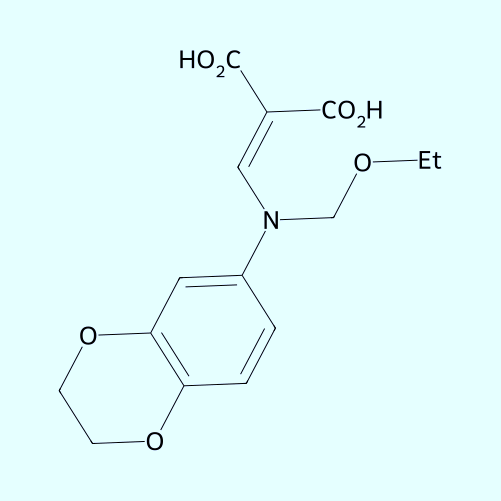 CCOCN(C=C(C(=O)O)C(=O)O)c1ccc2c(c1)OCCO2